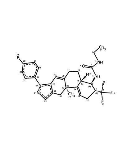 CCNC(=O)N[C@H]1[C@H](C(F)(F)F)CC=C2[C@@H]1CCC1=Cc3c(cnn3-c3ccc(F)cc3)C[C@@]12C